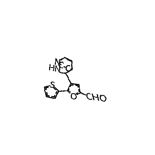 O=Cc1cc(C2CNN3CCC2CC3)c(-c2cccs2)o1